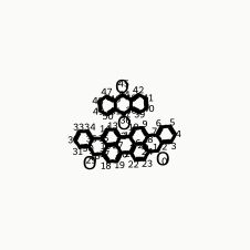 O=C1c2ccccc2-c2ccc3c4ccc5c6c(ccc(c7ccc1c2c73)c64)C(=O)c1ccccc1-5.O=C1c2ccccc2C(=O)c2ccccc21